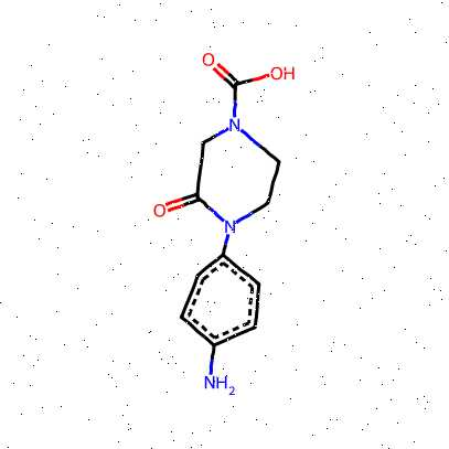 Nc1ccc(N2CCN(C(=O)O)CC2=O)cc1